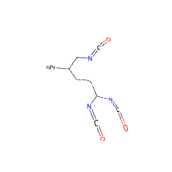 CCCC(CCC(N=C=O)N=C=O)CN=C=O